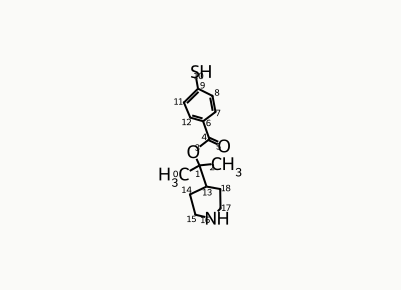 CC(C)(OC(=O)c1ccc(S)cc1)C1CCNCC1